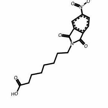 O=C(O)CCCCCCCN1C(=O)c2ccc([N+](=O)[O-])cc2C1=O